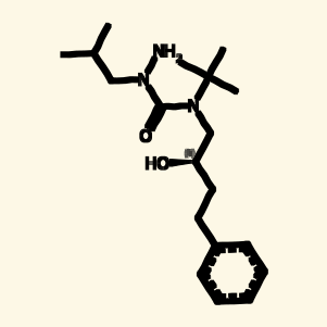 CC(C)CN(N)C(=O)N(C[C@H](O)CCc1ccccc1)C(C)(C)C